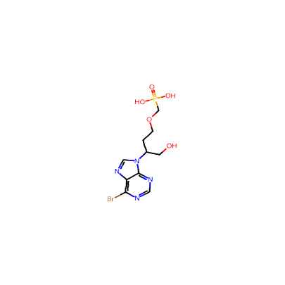 O=P(O)(O)COCCC(CO)n1cnc2c(Br)ncnc21